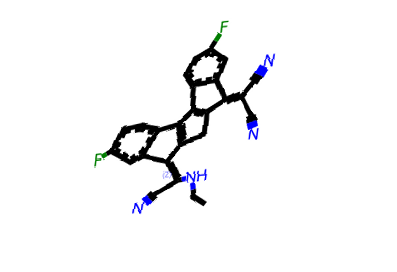 CCN/C(C#N)=C1\C2=C(C3=C(C2)C(=C(C#N)C#N)c2cc(F)ccc23)c2ccc(F)cc21